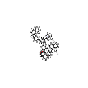 C=C(/C=C\CC)c1nc(-c2ccc3c(c2)N(c2ccc4ccccc4c2)c2c(C)cccc2C32c3ccccc3Sc3ccccc32)nc(-c2ccc3oc4ccc5ccccc5c4c3c2)n1